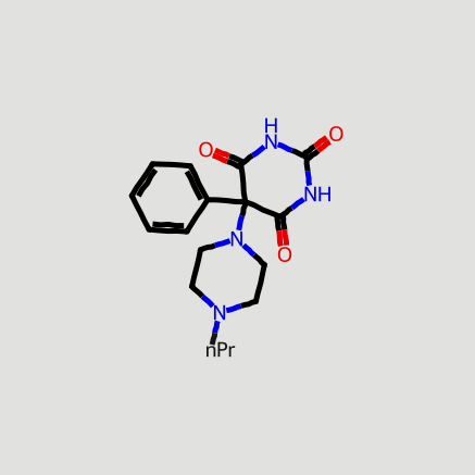 CCCN1CCN(C2(c3ccccc3)C(=O)NC(=O)NC2=O)CC1